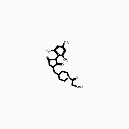 COCC(=O)N1CCC(CC2CC(=O)C(c3c(C)cc(C)cc3C)C2=O)CC1